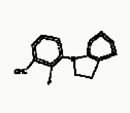 O=Cc1cccc(N2CCc3ccccc32)c1F